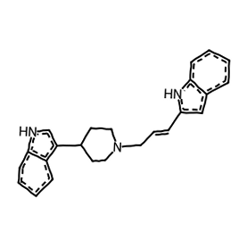 C(=Cc1cc2ccccc2[nH]1)CN1CCC(c2c[nH]c3ccccc23)CC1